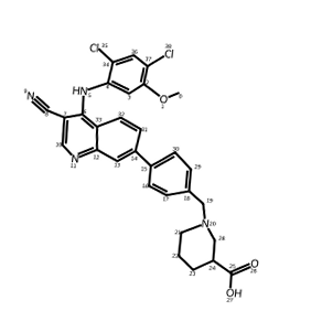 COc1cc(Nc2c(C#N)cnc3cc(-c4ccc(CN5CCCC(C(=O)O)C5)cc4)ccc23)c(Cl)cc1Cl